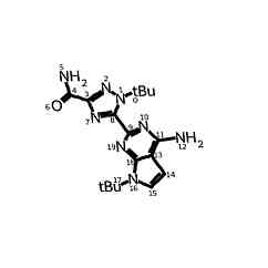 CC(C)(C)n1nc(C(N)=O)nc1-c1nc(N)c2ccn(C(C)(C)C)c2n1